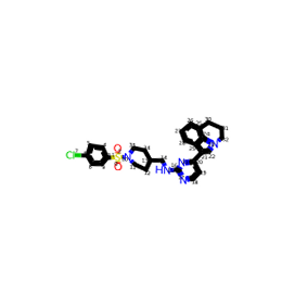 O=S(=O)(c1ccc(Cl)cc1)N1CCC(CNc2nccc(-c3cn4c5c(cccc35)CCC4)n2)CC1